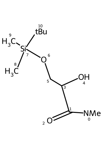 CNC(=O)C(O)CO[Si](C)(C)C(C)(C)C